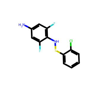 Nc1cc(F)c(NSc2ccccc2Cl)c(F)c1